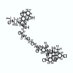 C=CC(=O)N1CCN(c2nc(NCCC(=O)N(C)CCOCCOCCNC(=O)c3ccc(NC(=O)[C@@H]4N[C@@H](CC(C)(C)C)[C@](C#N)(c5ccc(Cl)cc5F)[C@H]4c4cccc(Cl)c4F)c(OC)c3)nc3c(F)c(-c4c(O)cccc4F)c(Cl)cc23)CC1